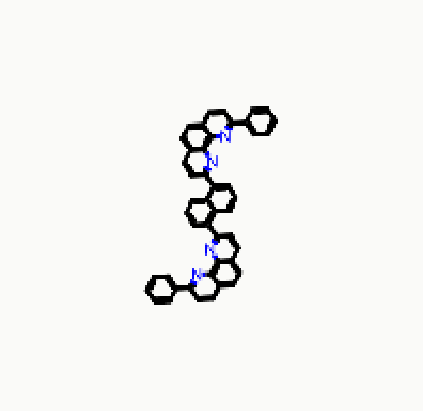 c1ccc(-c2ccc3ccc4ccc(-c5cccc6c(-c7ccc8ccc9ccc(-c%10ccccc%10)nc9c8n7)cccc56)nc4c3n2)cc1